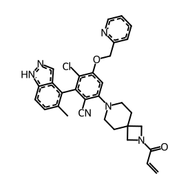 C=CC(=O)N1CC2(CCN(c3cc(OCc4ccccn4)c(Cl)c(-c4c(C)ccc5[nH]ncc45)c3C#N)CC2)C1